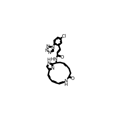 O=C(C=Cc1cc(Cl)ccc1-n1cnnn1)NC1CC=CCCC(=O)NC=CC=CC=Cc2c[nH]c1n2